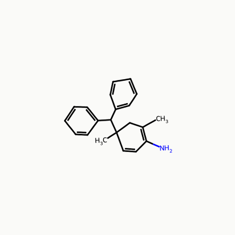 CC1=C(N)C=CC(C)(C(c2ccccc2)c2ccccc2)C1